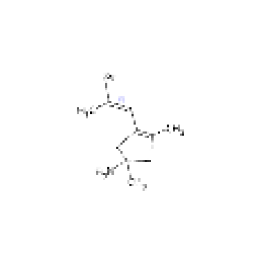 CC1=C(/C=C(\C)C(C)C)CC(C)(N)C1